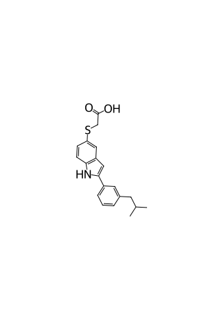 CC(C)Cc1cccc(-c2cc3cc(SCC(=O)O)ccc3[nH]2)c1